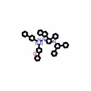 c1ccc(-c2ccc(-c3nc(-c4ccc5c(c4)oc4ccccc45)nc(-n4c5ccc6c(c7ccccc7n6-c6cc(-c7ccccc7)cc(-c7ccccc7)c6)c5c5ccc6ccccc6c54)n3)cc2)cc1